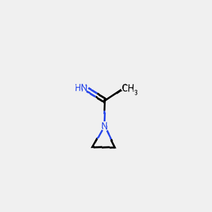 CC(=N)N1CC1